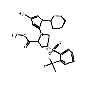 COC(=O)C1C[C@@H](S(=O)(=O)c2ccccc2C(F)(F)F)CN1c1cc(C)nn1C1CCCCC1